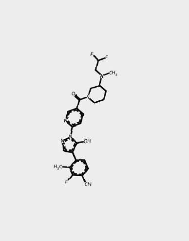 Cc1c(-c2cnn(-c3ccc(C(=O)N4CCCC(N(C)CC(F)F)C4)cn3)c2O)ccc(C#N)c1F